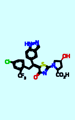 O=C1N=C(N2C[C@H](O)C[C@H]2C(=O)O)SC1=C(Cc1ccc(Cl)cc1C(F)(F)F)c1ccc2[nH]ncc2c1